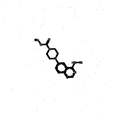 CCNc1ncnc2ccc(N3CCN(C(=O)OC(C)(C)C)CC3)cc12